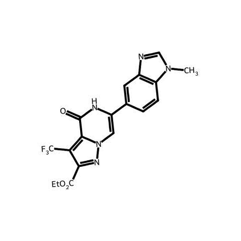 CCOC(=O)c1nn2cc(-c3ccc4c(c3)ncn4C)[nH]c(=O)c2c1C(F)(F)F